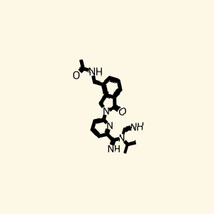 CC(=O)NCc1cccc2c1CN(c1cccc(C(=N)N(C=N)C(C)C)n1)C2=O